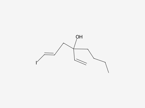 C=CC(O)(C/C=C/I)CCCC